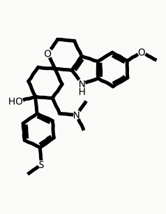 COc1ccc2[nH]c3c(c2c1)CCOC31CCC(O)(c2ccc(SC)cc2)C(CN(C)C)C1